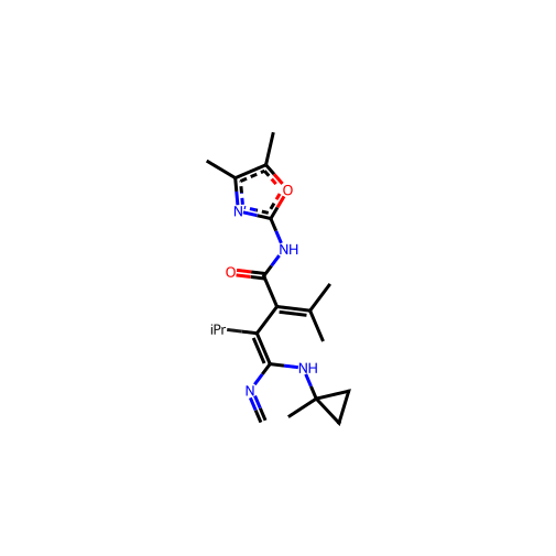 C=N/C(NC1(C)CC1)=C(/C(C(=O)Nc1nc(C)c(C)o1)=C(C)C)C(C)C